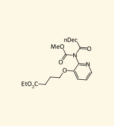 CCCCCCCCCCC(=O)N(C(=O)OC)c1ncccc1OCCCC(=O)OCC